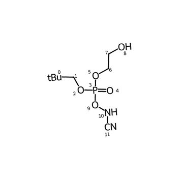 CC(C)(C)COP(=O)(OCCO)ONC#N